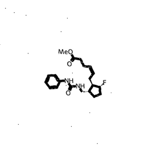 COC(=O)CC/C=C\C[C@@H]1[C@@H](CNC(=O)Nc2ccccc2)CC[C@H]1F